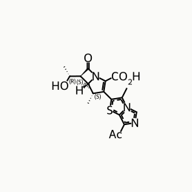 CC(=O)c1ncn2c(C)c(C3=C(C(=O)O)N4C(=O)[C@H]([C@@H](C)O)[C@H]4[C@H]3C)sc12